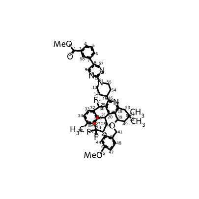 COC(=O)c1cccc(-c2cnc(N3CCC(c4nc5c(c(C6CCC(F)(F)CC6)c4C(F)c4ccc(C)cc4)C(OCc4ccc(OC)cc4)CC(C)(C)C5)CC3)nc2)c1